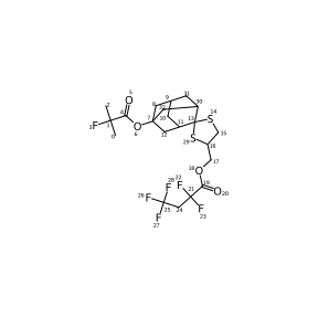 CC(C)(F)C(=O)OC12CC3CC(C1)C1(SCC(COC(=O)C(F)(F)CC(F)(F)F)S1)C(C3)C2